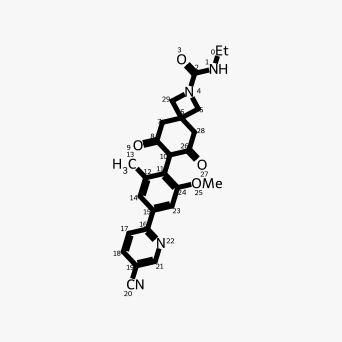 CCNC(=O)N1CC2(CC(=O)C(c3c(C)cc(-c4ccc(C#N)cn4)cc3OC)C(=O)C2)C1